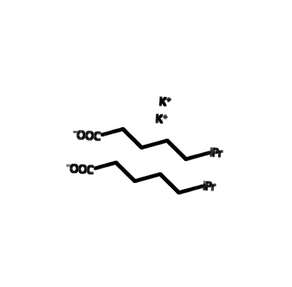 CC(C)CCCCC(=O)[O-].CC(C)CCCCC(=O)[O-].[K+].[K+]